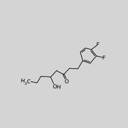 CCCC(O)CC(=O)CCc1ccc(F)c(F)c1